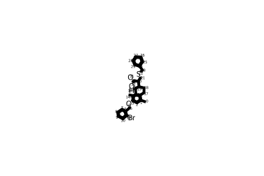 Cc1cc(OCc2ccccc2Br)c(C)c2c1CCC1C(CSCc3ccccc3)C(=O)O[C@@H]21